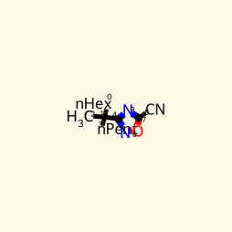 CCCCCCC(C)(CCCCC)c1noc(C#N)n1